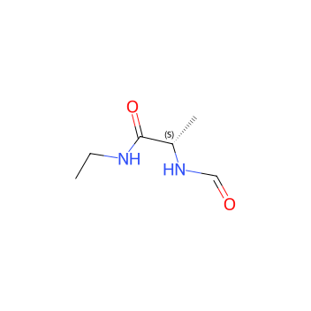 CCNC(=O)[C@H](C)NC=O